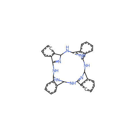 c1ccc2c(c1)C1=NC2Nc2[nH]c(c3ccccc23)NC2N=C(NC3NC(N1)c1ccccc13)c1ccccc12